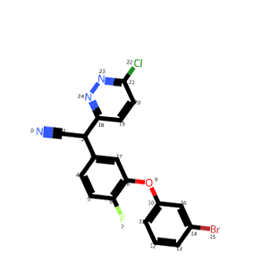 N#CC(c1ccc(F)c(Oc2cccc(Br)c2)c1)c1ccc(Cl)nn1